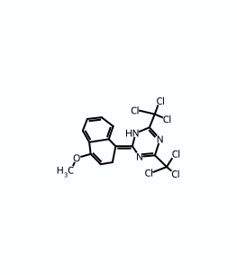 COC1=CCC(=C2N=C(C(Cl)(Cl)Cl)N=C(C(Cl)(Cl)Cl)N2)c2ccccc21